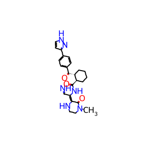 CN1CCN/C(=C(\C=N)NC(=O)[C@@H]2CCCC[C@H]2C(=O)c2ccc(-c3cc[nH]n3)cc2)C1=O